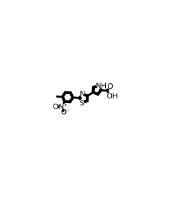 Cc1ccc(-c2nc(-c3c[nH]c(C(=O)O)c3)cs2)cc1[N+](=O)[O-]